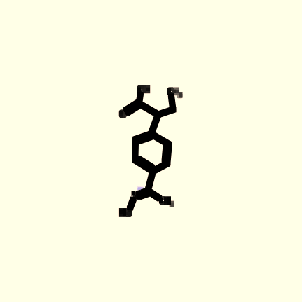 CCC(C(=O)O)c1ccc(/C(C)=N/O)cc1